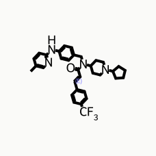 Cc1ccc(Nc2ccc(CN(C(=O)/C=C/c3ccc(C(F)(F)F)cc3)C3CCN(C4CCCC4)CC3)cc2)nc1